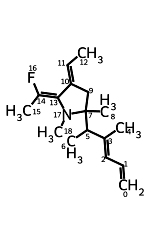 C=C/C=C(\C)C(C)C1(C)CC(=C\C)/C(=C(/C)F)N1C